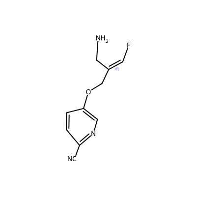 N#Cc1ccc(OC/C(=C/F)CN)cn1